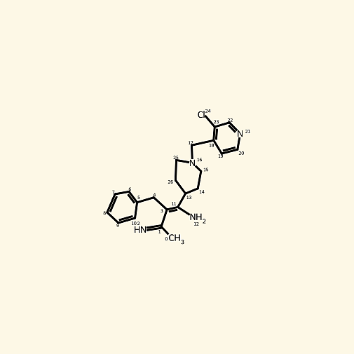 CC(=N)/C(Cc1ccccc1)=C(\N)C1CCN(Cc2ccncc2Cl)CC1